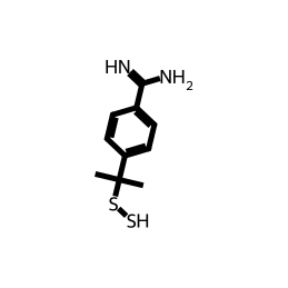 CC(C)(SS)c1ccc(C(=N)N)cc1